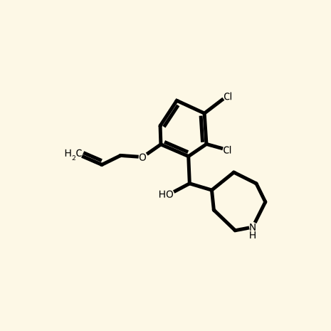 C=CCOc1ccc(Cl)c(Cl)c1C(O)C1CCCNCC1